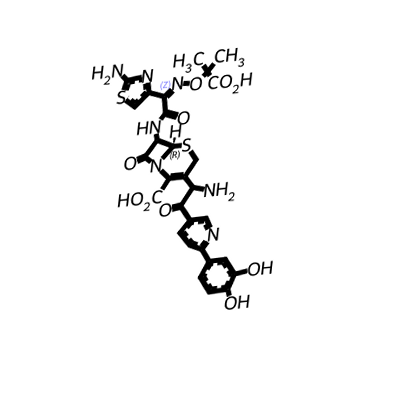 CC(C)(O/N=C(\C(=O)NC1C(=O)N2C(C(=O)O)=C(C(N)C(=O)c3ccc(-c4ccc(O)c(O)c4)nc3)CS[C@H]12)c1csc(N)n1)C(=O)O